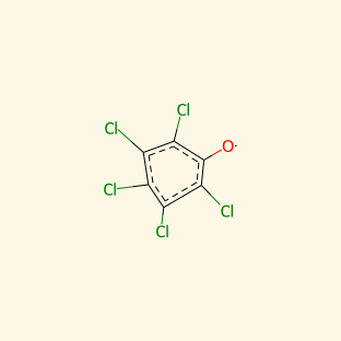 [O]c1c(Cl)c(Cl)c(Cl)c(Cl)c1Cl